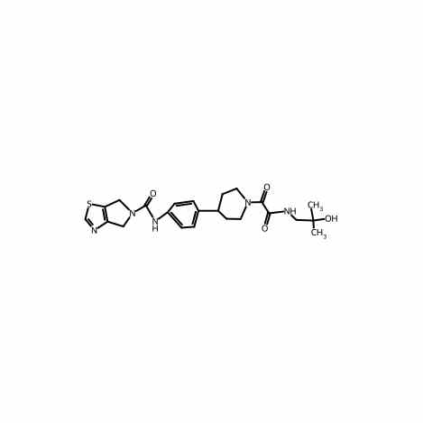 CC(C)(O)CNC(=O)C(=O)N1CCC(c2ccc(NC(=O)N3Cc4ncsc4C3)cc2)CC1